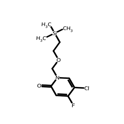 C[Si](C)(C)CCOCn1cc(Cl)c(F)cc1=O